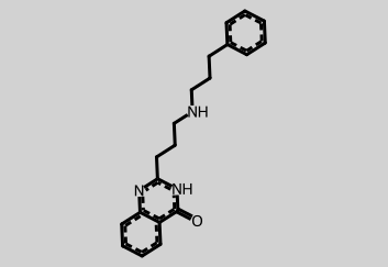 O=c1[nH]c(CCCNCCCc2ccccc2)nc2ccccc12